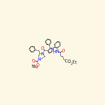 CCOC(=O)CCCC(=O)Nc1ccccc1-n1ccc(C(=O)N2CCN(C(=O)OC(C)(C)C)CC2Cc2ccccc2)c1-c1ccccc1